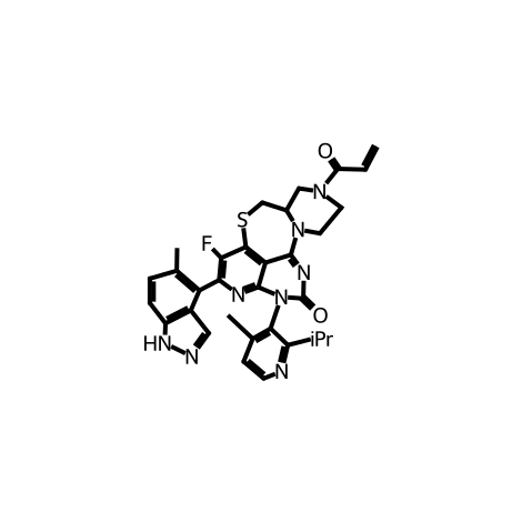 C=CC(=O)N1CCN2c3nc(=O)n(-c4c(C)ccnc4C(C)C)c4nc(-c5c(C)ccc6[nH]ncc56)c(F)c(c34)SCC2C1